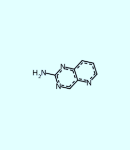 Nc1ncc2ncccc2n1